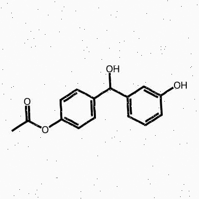 CC(=O)Oc1ccc([C](O)c2cccc(O)c2)cc1